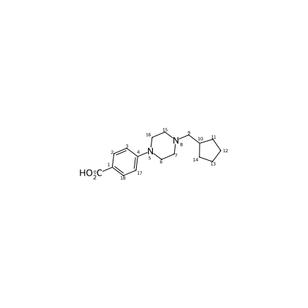 O=C(O)c1ccc(N2CCN(CC3CCCC3)CC2)cc1